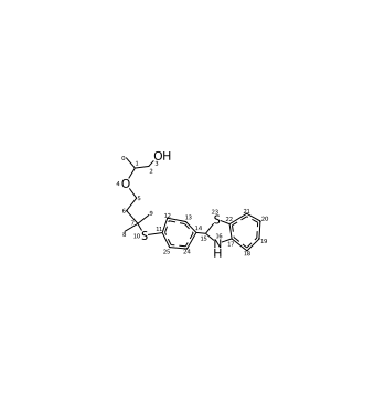 CC(CO)OCCC(C)(C)Sc1ccc(C2Nc3ccccc3S2)cc1